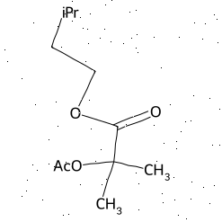 CC(=O)OC(C)(C)C(=O)OCCC(C)C